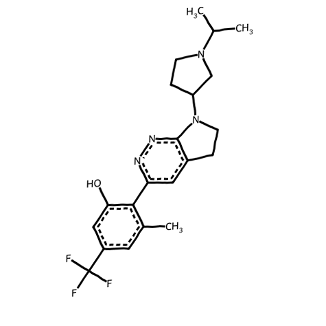 Cc1cc(C(F)(F)F)cc(O)c1-c1cc2c(nn1)N(C1CCN(C(C)C)C1)CC2